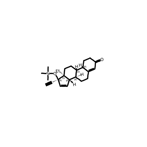 C#C[C@@]1(O[Si](C)(C)C)C=C[C@H]2[C@@H]3CCC4=CC(=O)CC[C@@H]4[C@H]3CC[C@@]21CC